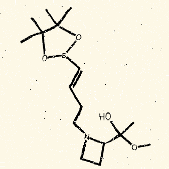 COC(C)(O)[C@H]1CCN1CC/C=C/B1OC(C)(C)C(C)(C)O1